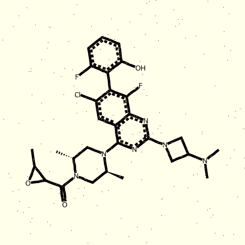 CC1OC1C(=O)N1C[C@H](C)N(c2nc(N3CC(N(C)C)C3)nc3c(F)c(-c4c(O)cccc4F)c(Cl)cc23)C[C@H]1C